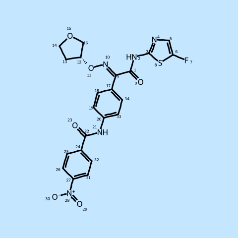 O=C(Nc1ncc(F)s1)/C(=N/O[C@@H]1CCOC1)c1ccc(NC(=O)c2ccc([N+](=O)[O-])cc2)cc1